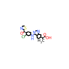 C=C(C(=O)O)c1ccc2c(Nc3ccc(C(=O)c4nccs4)c(Cl)c3)ncnc2c1